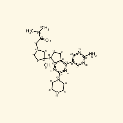 CN(C)C(=O)CN1CC[C@](C)(N2CCc3c(-c4cnc(N)nc4)nc(N4CCOCC4)nc32)C1